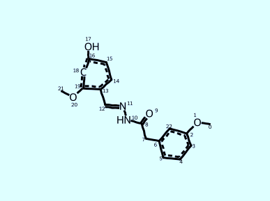 COc1cccc(CC(=O)N/N=C/c2ccc(O)cc2OC)c1